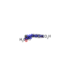 CN(C)C(=O)c1cc2cnc(Nc3ccc(N4CCN(C5CCN(C6CN(C(=O)O)C6)CC5)CC4)cn3)nc2n1C1CCCC1